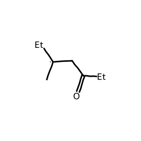 CC[C](C)CC(=O)CC